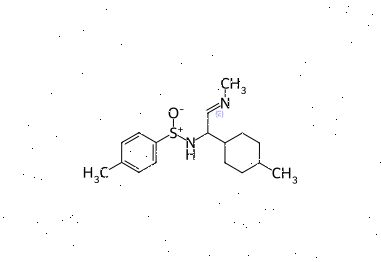 C/N=C/C(N[S+]([O-])c1ccc(C)cc1)C1CCC(C)CC1